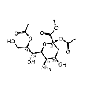 COC(=O)[C@]1(OC(C)=O)C[C@@H](O)[C@@H](N)C([C@H](O)[C@@H](CO)OC(C)=O)O1